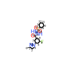 Cc1ccn(-c2cc(F)cc(C(=O)NNS(=O)(=O)c3ccccc3)c2)n1